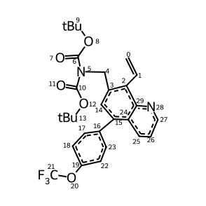 C=Cc1c(CN(C(=O)OC(C)(C)C)C(=O)OC(C)(C)C)cc(-c2ccc(OC(F)(F)F)cc2)c2cccnc12